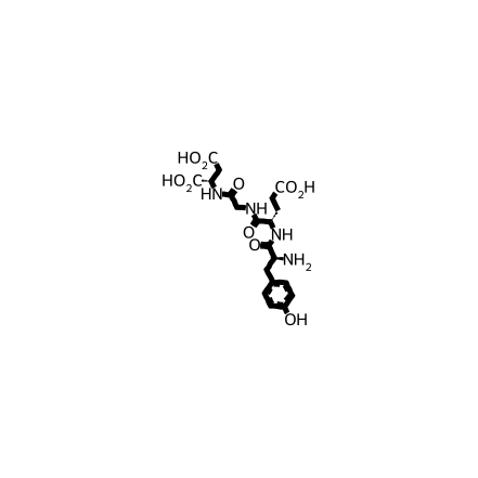 N[C@@H](Cc1ccc(O)cc1)C(=O)N[C@@H](CCC(=O)O)C(=O)NCC(=O)N[C@@H](CC(=O)O)C(=O)O